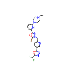 CCN1CCN(c2cccc(-c3nn(Cc4ccc(-c5nnc(C(F)F)o5)cn4)c(=S)o3)n2)CC1